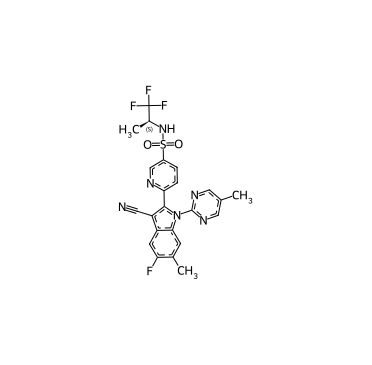 Cc1cnc(-n2c(-c3ccc(S(=O)(=O)N[C@@H](C)C(F)(F)F)cn3)c(C#N)c3cc(F)c(C)cc32)nc1